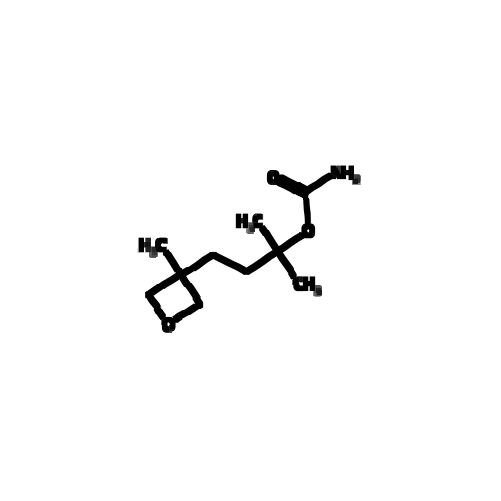 CC1(CCC(C)(C)OC(N)=O)COC1